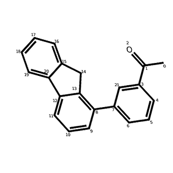 CC(=O)c1cccc(-c2cccc3c2Cc2ccccc2-3)c1